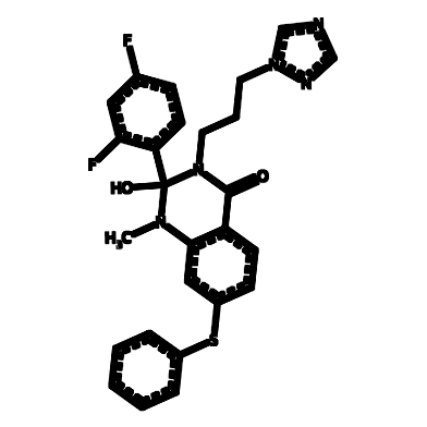 CN1c2cc(Sc3ccccc3)ccc2C(=O)N(CCCn2cncn2)C1(O)c1ccc(F)cc1F